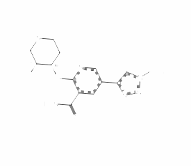 Cl.Cn1cc(-c2cnc(O[C@@H]3CCNC[C@@H]3F)c(C(N)=O)c2)nn1